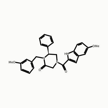 COc1cccc(CN2C(=O)CN(C(=O)c3cc4cc(OC)ccc4[nH]3)C[C@@H]2c2ccccc2)c1